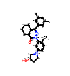 Cc1cc(C)cc(-c2nn(-c3cc(N4CC[C@H](O)C4)ccc3C(F)(F)F)c(=O)c3c2CCCC3)c1